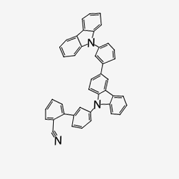 N#Cc1ccccc1-c1cccc(-n2c3ccccc3c3cc(-c4cccc(-n5c6ccccc6c6ccccc65)c4)ccc32)c1